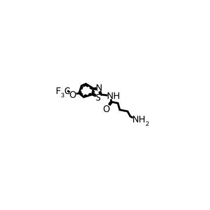 NCCCCC(=O)Nc1nc2ccc(OC(F)(F)F)cc2s1